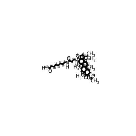 C=C(C)[C@@H]1CC[C@]2(C(=O)NCCC(=O)NCCCCCCCC(=O)O)CC[C@]3(C)[C@H](CCC4[C@@]5(C)CC[C@H](OC(C)=O)C(C)(C)[C@@H]5CC[C@]43C)[C@@H]12